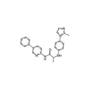 Cc1nccn1-c1ccc(NC(C)C(=O)Nc2ccc(-c3ccccc3)cn2)cc1